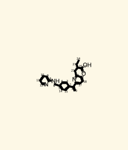 C=C(c1ccc(CNc2ccccn2)cc1)c1cccc(CC(CC)C(=O)O)n1